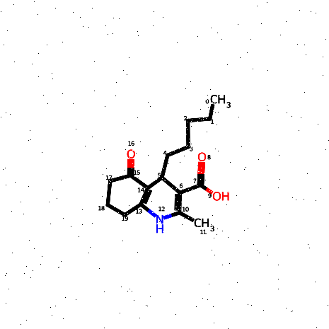 CCCCCC1C(C(=O)O)=C(C)NC2=C1C(=O)CCC2